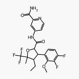 CCC1C(c2ccc(F)c(F)c2OC)C(C(=O)Nc2ccnc(C(N)=O)c2)OC1(C)C(F)(F)F